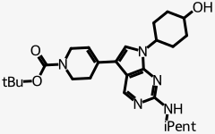 CCCC(C)Nc1ncc2c(C3=CCN(C(=O)OC(C)(C)C)CC3)cn(C3CCC(O)CC3)c2n1